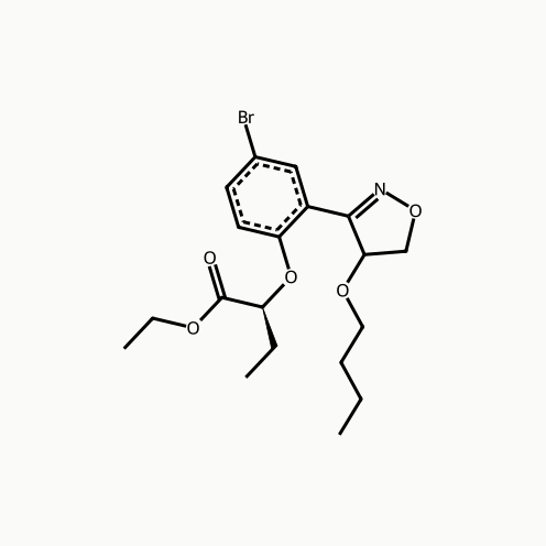 CCCCOC1CON=C1c1cc(Br)ccc1O[C@@H](CC)C(=O)OCC